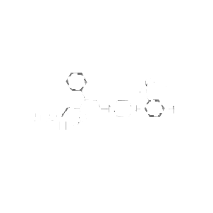 C/C=C/C(OC)C(CCN1CCN(c2ccc(F)cc2OC)CC1)c1ccccc1